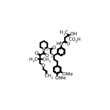 C=CCOCC(C)(C)C(=O)C(=O)N1CCCC[C@H]1C(=O)C[C@H](CCc1ccc(OC)c(OC)c1)c1cccc(NC(=O)C[C@@](C)(O)C(=O)O)c1